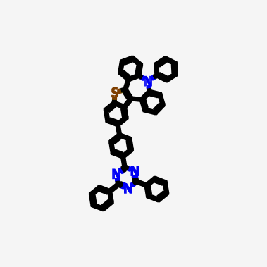 c1ccc(-c2nc(-c3ccccc3)nc(-c3ccc(-c4ccc5sc6c(c5c4)-c4ccccc4N(c4ccccc4)c4ccccc4-6)cc3)n2)cc1